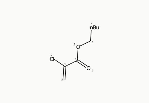 C=C(Cl)C(=O)OCCCCC